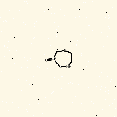 O=[N+]1CNCCSC1